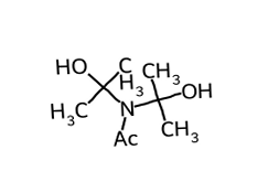 CC(=O)N(C(C)(C)O)C(C)(C)O